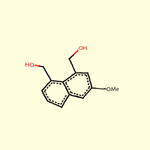 COc1cc(CO)c2c(CO)cccc2c1